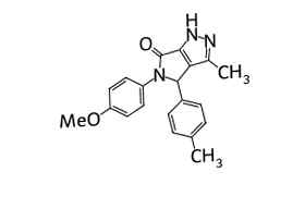 COc1ccc(N2C(=O)c3[nH]nc(C)c3C2c2ccc(C)cc2)cc1